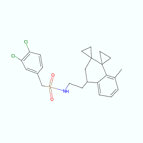 Cc1cccc2c1C1(CC1)C1(CC1)CC2CCNS(=O)(=O)Cc1ccc(Cl)c(Cl)c1